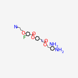 N#CCCCOc1ccc(C(=O)Oc2ccc(/C=C/C(=O)OCCc3ccc(N)cc3N)cc2)cc1F